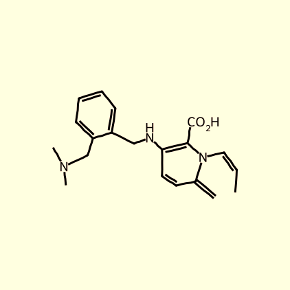 C=C1C=CC(NCc2ccccc2CN(C)C)=C(C(=O)O)N1/C=C\C